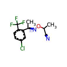 C/C(=N\OC(C)C#N)c1cc(Cl)ccc1C(F)(F)F